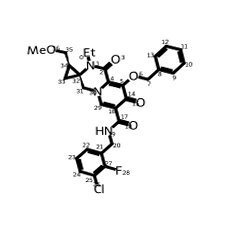 CCN1C(=O)c2c(OCc3ccccc3)c(=O)c(C(=O)NCc3cccc(Cl)c3F)cn2C[C@]12C[C@H]2COC